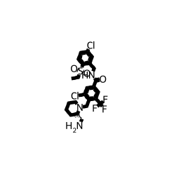 CCS(=O)(=O)c1ccc(Cl)cc1CNC(=O)c1cc(Cl)c(CN2CCCC[C@H]2CN)c(C(F)(F)F)c1